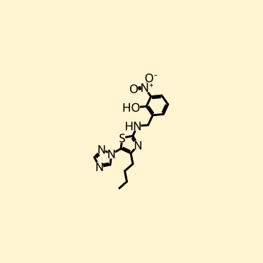 CCCCc1nc(NCc2cccc([N+](=O)[O-])c2O)sc1-n1cncn1